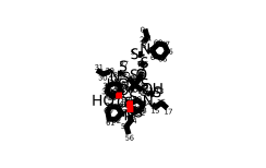 CCCN(C(=S)SSOC(SSC(=S)N(CCC)C1CCCCC1)(SSC(=S)N(CCC)C1CCCCC1)C(CO)(CO)C(OC(=O)CO)SSC(=S)N(CCC)C1CCCCC1)C1CCCCC1